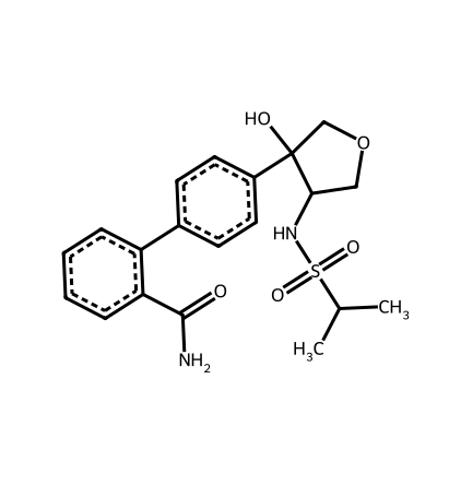 CC(C)S(=O)(=O)NC1COCC1(O)c1ccc(-c2ccccc2C(N)=O)cc1